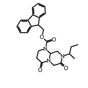 CCC(C)N1CC2N(CC1=O)C(=O)CCN2C(=O)OCC1c2ccccc2-c2ccccc21